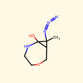 CC1(N=[N+]=[N-])C2COCCNC21O